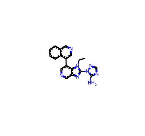 CCn1c(-n2ncnc2N)nc2cncc(-c3cncc4ccccc34)c21